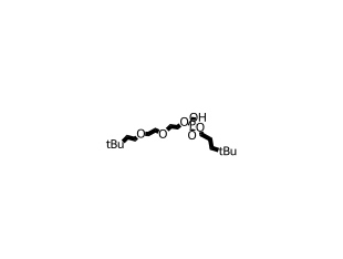 CC(C)(C)CCCOP(=O)(O)OCCOCCOCCC(C)(C)C